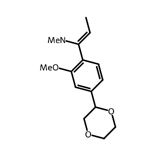 C/C=C(\NC)c1ccc(C2COCCO2)cc1OC